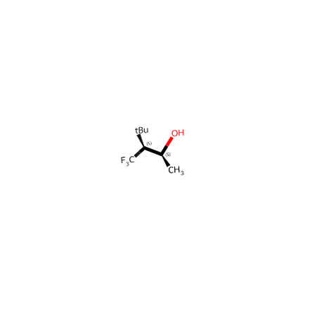 C[C@H](O)[C@H](C(C)(C)C)C(F)(F)F